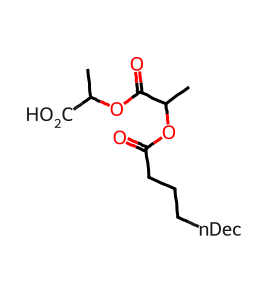 CCCCCCCCCCCCCC(=O)OC(C)C(=O)OC(C)C(=O)O